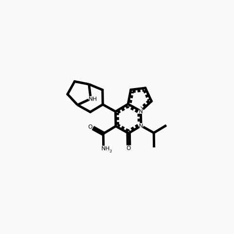 CC(C)n1c(=O)c(C(N)=O)c(C2CC3CCC(C2)N3)c2cccn21